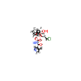 C[C@H]1[C@H](O)[C@](C)(CCCCl)C[C@@H](OC(=O)NC(=O)[C@H]2CN3CC[C@@H]2C3)[C@]23C[C@@H]2CCC12CCC(=O)C23